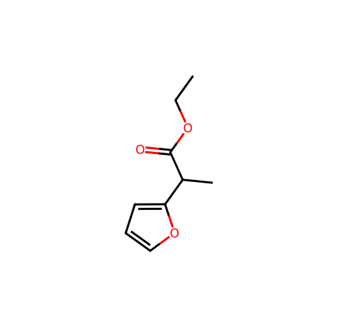 CCOC(=O)C(C)c1ccco1